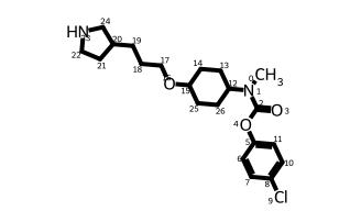 CN(C(=O)Oc1ccc(Cl)cc1)C1CCC(OCCCC2CCNC2)CC1